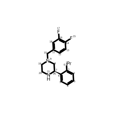 CC(C)c1ccccc1[C@@H]1CN(Cc2ccc(F)c(F)c2)CCN1